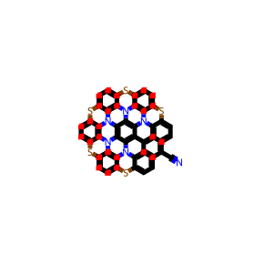 N#Cc1ccc(-c2c(N3c4ccccc4Sc4ccccc43)c(N3c4ccccc4Sc4ccccc43)c(N3c4ccccc4Sc4ccccc43)c(N3c4ccccc4Sc4ccccc43)c2N2c3ccccc3Sc3ccccc32)cc1